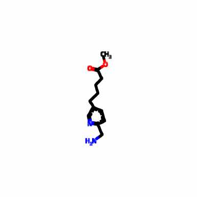 COC(=O)CCCCc1ccc(CN)nc1